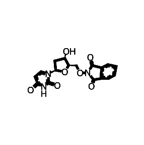 O=C1c2ccccc2C(=O)N1OC[C@H]1O[C@@H](n2ccc(=O)[nH]c2=O)C[C@@H]1O